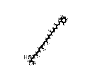 CC1=C(/C=C/C(C)=C/C=C/C(C)=C/C=C/C=C(C)/C=C/C=C(C)/C=C/C=C(C)/C=C/[C@@H](O)C(C)(C)O)C(C)(C)CCC1